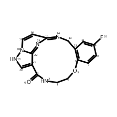 O=C1NCCOc2ccc(F)cc2CN=C2C=CN3NC=C1C3=N2